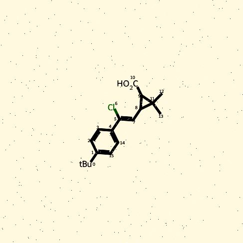 CC(C)(C)c1ccc(C(Cl)=CC2C(C(=O)O)C2(C)C)cc1